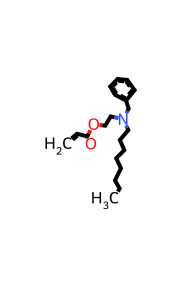 C=CC(=O)OCCN(CCCCCCCC)Cc1ccccc1